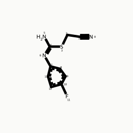 N#CCSC(N)=Nc1ccc(F)cc1